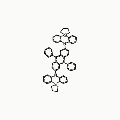 c1ccc(-c2c3ccc(N4c5ccccc5[Si]5(CCCC5)c5ccccc54)cc3c(-c3ccccc3)c3ccc(N4c5ccccc5[Si]5(CCCC5)c5ccccc54)cc23)cc1